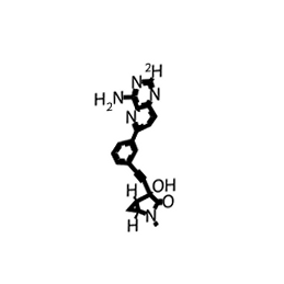 [2H]c1nc(N)c2nc(-c3cccc(C#C[C@@]4(O)C(=O)N(C)[C@@H]5C[C@@H]54)c3)ccc2n1